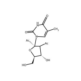 CC(=O)C1[C@H](O)[C@@H](CO)O[C@@]1(C(C)=O)n1cc(C)c(=O)[nH]c1=O